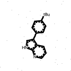 CC(C)(C)c1ccc(-c2c[nH]c3ncccc23)cc1